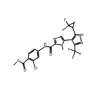 COC(=O)c1ccc(NC(=O)c2ncc(-c3c(C(F)(F)F)n[nH]c3C3CC3(F)F)n2C)cc1Cl